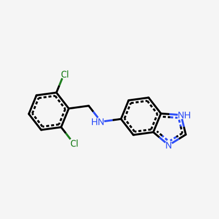 Clc1cccc(Cl)c1CNc1ccc2[nH]cnc2c1